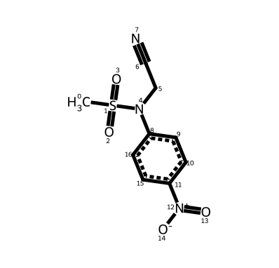 CS(=O)(=O)N(CC#N)c1ccc([N+](=O)[O-])cc1